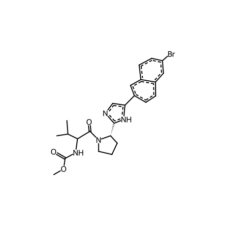 COC(=O)NC(C(=O)N1CCC[C@H]1c1ncc(-c2ccc3cc(Br)ccc3c2)[nH]1)C(C)C